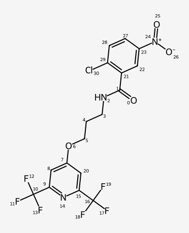 O=C(NCCCOc1cc(C(F)(F)F)nc(C(F)(F)F)c1)c1cc([N+](=O)[O-])ccc1Cl